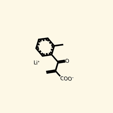 C=C(C(=O)[O-])C(=O)c1ccccc1C.[Li+]